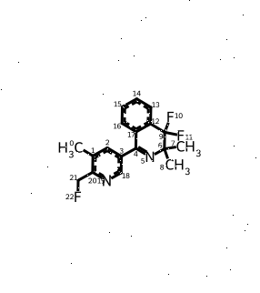 Cc1cc(C2=NC(C)(C)C(F)(F)c3ccccc32)cnc1CF